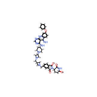 N=C(c1ccc(Oc2ccccc2)cc1)c1c(N)ncnc1NC1CCN(C2CN(CC3CN(Cc4ccc5c(c4)C(=O)N(C4CCC(=O)NC4=O)C5=O)C3)C2)CC1